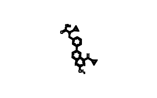 Cc1nc(NC2CC2)c2cc(-c3cccc(CN(C(=O)C(C)(C)C)C4CC4)c3)ccc2n1